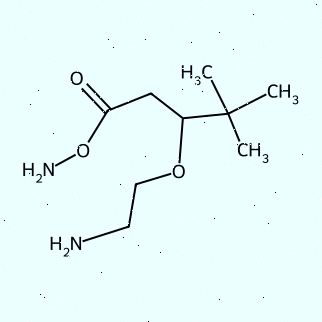 CC(C)(C)C(CC(=O)ON)OCCN